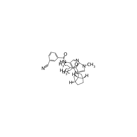 Cc1c(NC(=O)c2cccc(C#N)c2)cnc2c1c([C@H]1[C@@H]3CC[C@H]1CN(C(=O)C(C)C)C3)cn2C